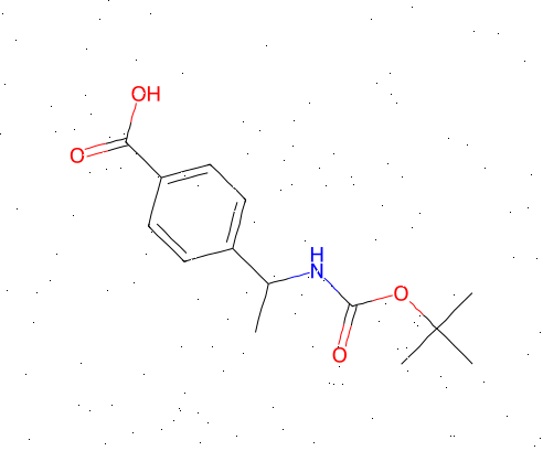 CC(NC(=O)OC(C)(C)C)c1ccc(C(=O)O)cc1